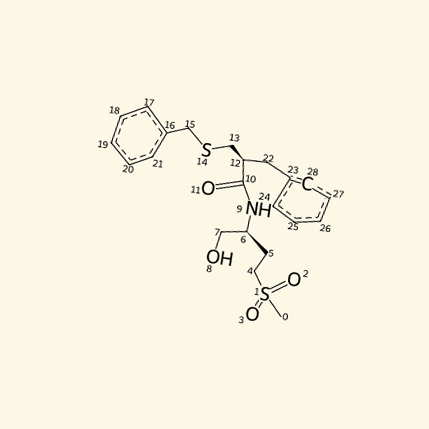 CS(=O)(=O)CC[C@@H](CO)NC(=O)[C@@H](CSCc1ccccc1)Cc1ccccc1